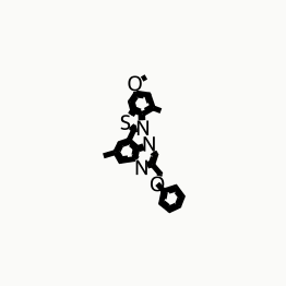 COc1cc(C)c2nc(-c3cc(C)cc4nc(COc5ccccc5)cnc34)sc2c1